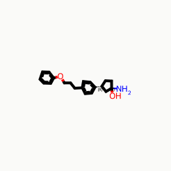 N[C@]1(O)CC[C@@H](c2ccc(CCCOc3ccccc3)cc2)C1